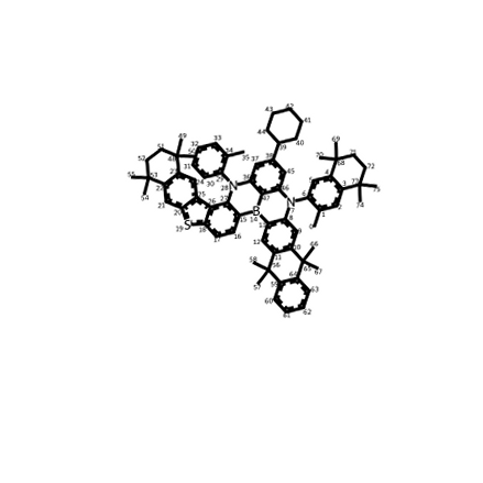 Cc1cc2c(cc1N1c3cc4c(cc3B3c5ccc6sc7cc8c(cc7c6c5N(c5ccccc5C)c5cc(C6CCCCC6)cc1c53)C(C)(C)CCC8(C)C)C(C)(C)c1ccccc1C4(C)C)C(C)(C)CCC2(C)C